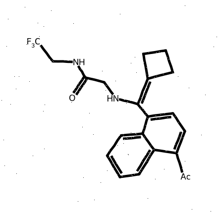 CC(=O)c1ccc(C(NCC(=O)NCC(F)(F)F)=C2CCC2)c2ccccc12